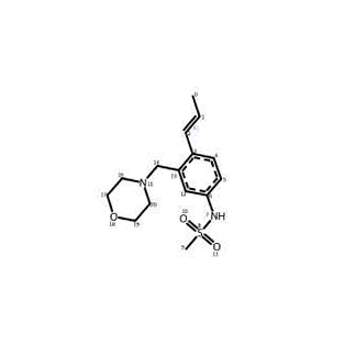 C/C=C/c1ccc(NS(C)(=O)=O)cc1CN1CCOCC1